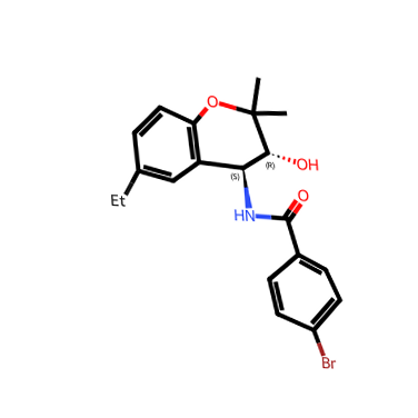 CCc1ccc2c(c1)[C@H](NC(=O)c1ccc(Br)cc1)[C@@H](O)C(C)(C)O2